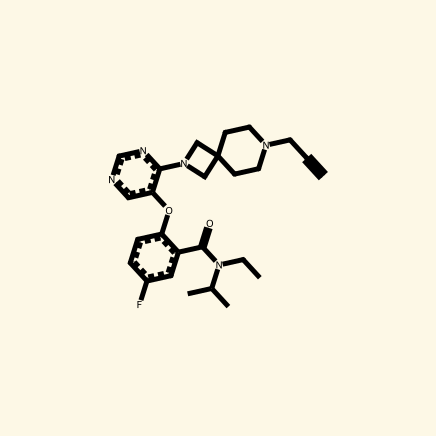 C#CCN1CCC2(CC1)CN(c1ncncc1Oc1ccc(F)cc1C(=O)N(CC)C(C)C)C2